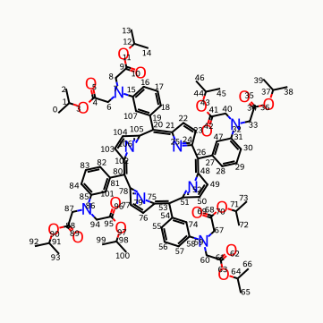 CC(C)OC(=O)CN(CC(=O)OC(C)C)c1cccc(C2=C3C=CC(=N3)C(c3cccc(N(CC(=O)OC(C)C)CC(=O)OC(C)C)c3)=C3C=CC(=N3)C(c3cccc(N(CC(=O)OC(C)C)CC(=O)OC(C)C)c3)=C3C=CC(=N3)C(c3cccc(N(CC(=O)OC(C)C)CC(=O)OC(C)C)c3)=C3C=CC2=N3)c1